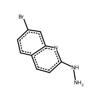 NNc1ccc2ccc(Br)cc2n1